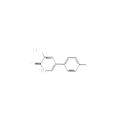 Cc1cc(-c2ccc(Cl)cc2)c[nH]c1=O